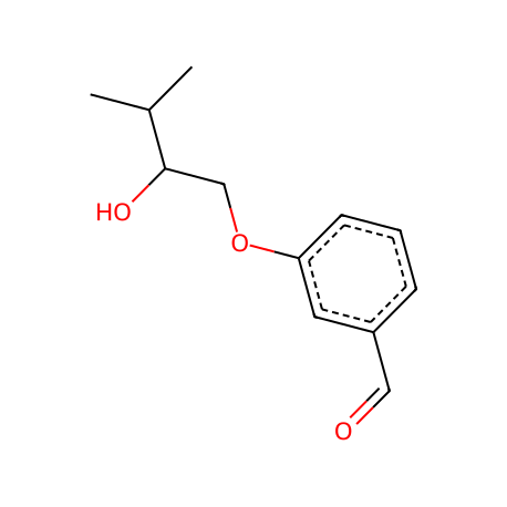 CC(C)C(O)COc1cccc(C=O)c1